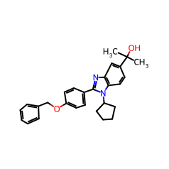 CC(C)(O)c1ccc2c(c1)nc(-c1ccc(OCc3ccccc3)cc1)n2C1CCCC1